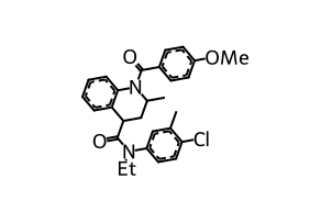 CCN(C(=O)C1CC(C)N(C(=O)c2ccc(OC)cc2)c2ccccc21)c1ccc(Cl)c(C)c1